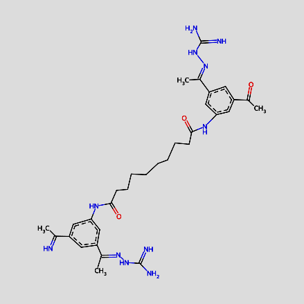 CC(=N)c1cc(NC(=O)CCCCCCCCC(=O)Nc2cc(C(C)=O)cc(/C(C)=N/NC(=N)N)c2)cc(/C(C)=N/NC(=N)N)c1